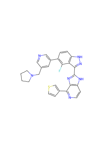 Fc1c(-c2cncc(CN3CCCC3)c2)ccc2[nH]nc(-c3nc4c(-c5ccsc5)nccc4[nH]3)c12